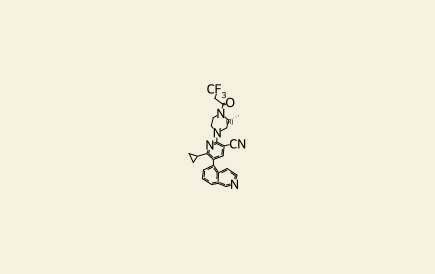 C[C@@H]1CN(c2nc(C3CC3)c(-c3cccc4cnccc34)cc2C#N)CCN1C(=O)CC(F)(F)F